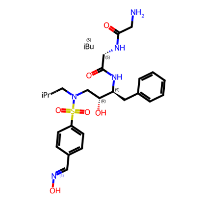 CC[C@H](C)[C@H](NC(=O)CN)C(=O)N[C@@H](Cc1ccccc1)[C@H](O)CN(CC(C)C)S(=O)(=O)c1ccc(/C=N/O)cc1